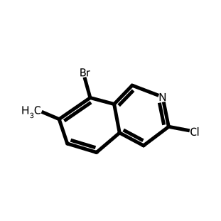 Cc1ccc2cc(Cl)ncc2c1Br